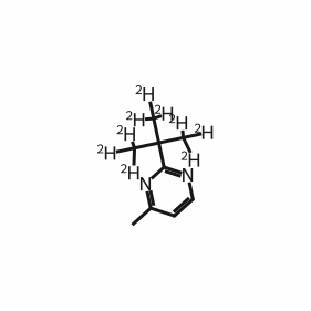 [2H]C([2H])([2H])C(c1nccc(C)n1)(C([2H])([2H])[2H])C([2H])([2H])[2H]